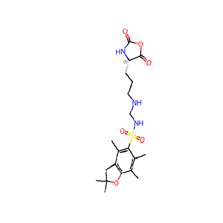 Cc1c(C)c(S(=O)(=O)NCNCCC[C@@H]2NC(=O)OC2=O)c(C)c2c1OC(C)(C)C2